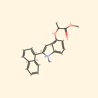 COC(=O)C(C)Oc1cccc2c1cc(-c1cccc3ccccc13)n2C